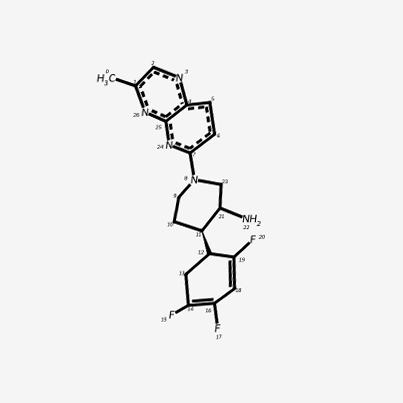 Cc1cnc2ccc(N3CC[C@H](C4CC(F)=C(F)C=C4F)C(N)C3)nc2n1